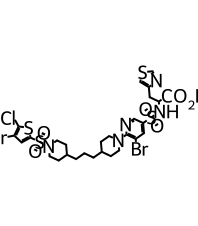 O=C(O)C(Cc1cscn1)NS(=O)(=O)c1cnc(N2CCC(CCCC3CCN(S(=O)(=O)c4cc(Br)c(Cl)s4)CC3)CC2)c(Br)c1